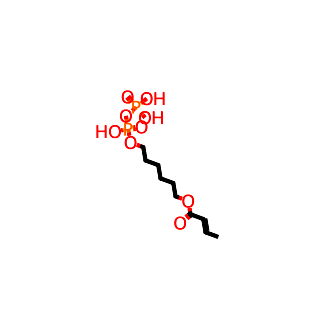 CC=CC(=O)OCCCCCCOP(=O)(O)OP(=O)(O)O